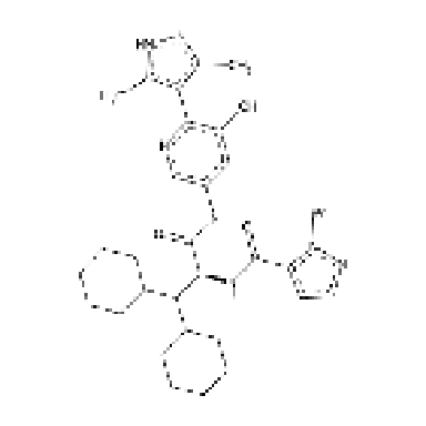 Cc1n[nH]c(C)c1-c1ncc(NC(=O)[C@@H](NC(=O)c2ccnn2C(C)C)C(C2CCCCC2)C2CCCCC2)cc1O